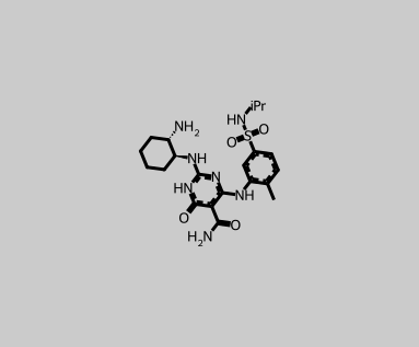 Cc1ccc(S(=O)(=O)NC(C)C)cc1Nc1nc(N[C@H]2CCCC[C@@H]2N)[nH]c(=O)c1C(N)=O